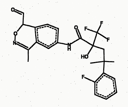 CC1=NOC(C=O)c2ccc(NC(=O)C(O)(CC(C)(C)c3ccccc3F)C(F)(F)F)cc21